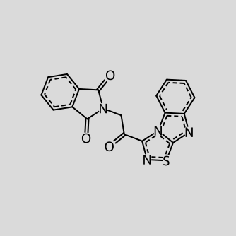 O=C(CN1C(=O)c2ccccc2C1=O)c1nsc2nc3ccccc3n12